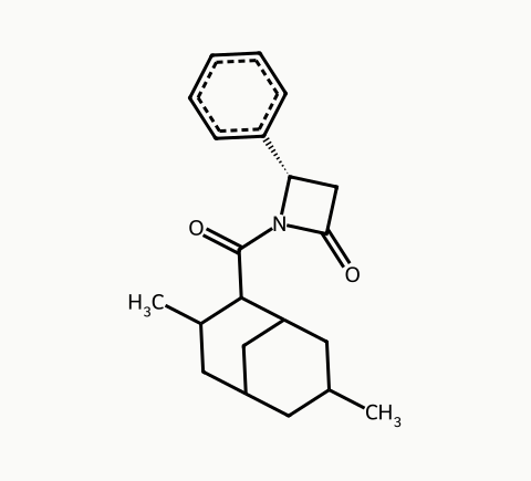 CC1CC2CC(C)C(C(=O)N3C(=O)C[C@H]3c3ccccc3)C(C1)C2